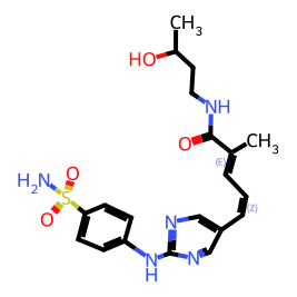 C/C(=C\C=C/c1cnc(Nc2ccc(S(N)(=O)=O)cc2)nc1)C(=O)NCCC(C)O